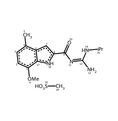 COc1ccc(C)c2cc(C(=O)N=C(N)NC(C)C)[nH]c12.CS(=O)(=O)O